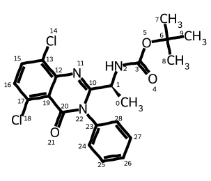 C[C@H](NC(=O)OC(C)(C)C)c1nc2c(Cl)ccc(Cl)c2c(=O)n1-c1ccccc1